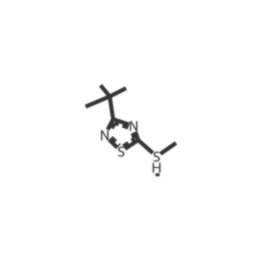 C[SH](C)c1nc(C(C)(C)C)ns1